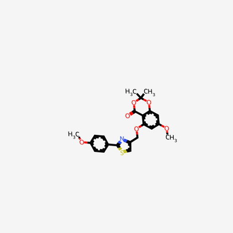 COc1ccc(-c2nc(COc3cc(OC)cc4c3C(=O)OC(C)(C)O4)cs2)cc1